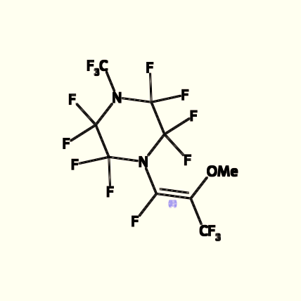 CO/C(=C(/F)N1C(F)(F)C(F)(F)N(C(F)(F)F)C(F)(F)C1(F)F)C(F)(F)F